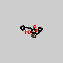 CCC(Cc1ccccc1)c1oc(=O)c(CCCc2ccccc2)c(O)c1Br